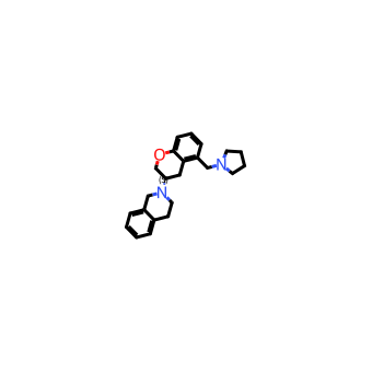 c1ccc2c(c1)CCN([C@@H]1COc3cccc(CN4CCCC4)c3C1)C2